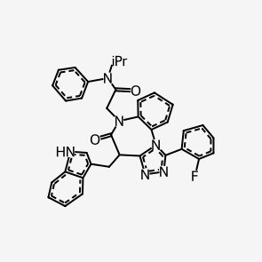 CC(C)N(C(=O)CN1C(=O)C(Cc2c[nH]c3ccccc23)c2nnc(-c3ccccc3F)n2-c2ccccc21)c1ccccc1